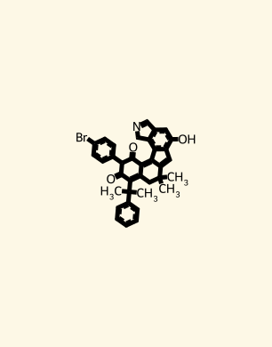 CC1(C)CC2=C(C(C)(C)c3ccccc3)C(=O)C(c3ccc(Br)cc3)C(=O)C2=C2C1=Cc1c(O)cc3c(c12)CN=C3